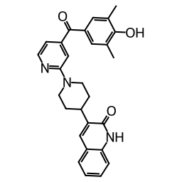 Cc1cc(C(=O)c2ccnc(N3CCC(c4cc5ccccc5[nH]c4=O)CC3)c2)cc(C)c1O